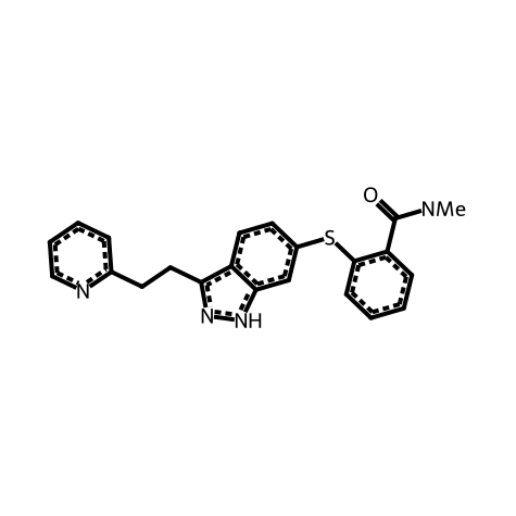 CNC(=O)c1ccccc1Sc1ccc2c(CCc3ccccn3)n[nH]c2c1